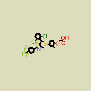 Cc1cc(SCC(c2sc(-c3ccc(C(F)(F)F)c(F)c3)nc2C)c2c(Cl)cccc2Cl)ccc1OCC(=O)O